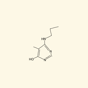 CCCNc1n[c]nc(O)c1C